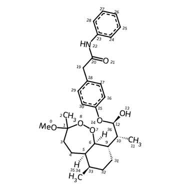 COC1(C)CC[C@H]2[C@@H](OO1)[C@H]([C@@H](C)[C@H](O)Oc1ccc(CC(=O)Nc3ccccc3)cc1)CC[C@H]2C